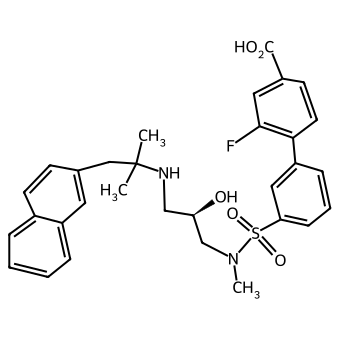 CN(C[C@H](O)CNC(C)(C)Cc1ccc2ccccc2c1)S(=O)(=O)c1cccc(-c2ccc(C(=O)O)cc2F)c1